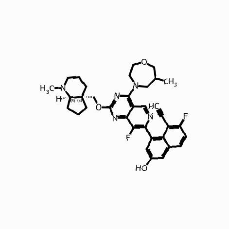 C#Cc1c(F)ccc2cc(O)cc(-c3ncc4c(N5CCOCC(C)C5)nc(OC[C@]56CCC[C@H]5N(C)CCC6)nc4c3F)c12